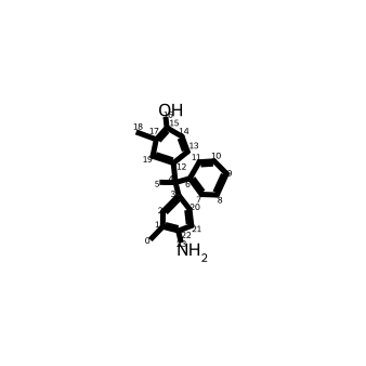 Cc1cc(C(C)(c2ccccc2)c2ccc(O)c(C)c2)ccc1N